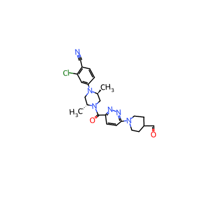 C[C@@H]1CN(c2ccc(C#N)c(Cl)c2)[C@@H](C)CN1C(=O)c1ccc(N2CCC(C=O)CC2)nn1